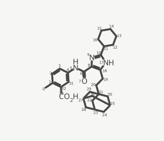 Cc1ccc(NC(=O)c2nc(C3CCCCC3)[nH]c2CCC23CC4CC(CC(C4)C2)C3)cc1C(=O)O